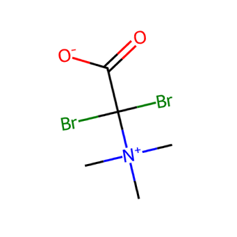 C[N+](C)(C)C(Br)(Br)C(=O)[O-]